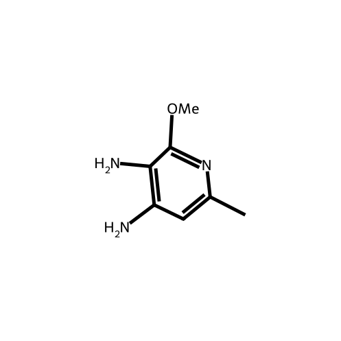 COc1nc(C)cc(N)c1N